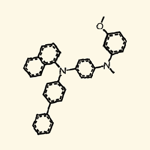 COc1cccc(N(C)c2ccc(N(c3ccc(-c4ccccc4)cc3)c3cccc4ccccc34)cc2)c1